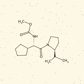 COC(=O)N[C@H](C(=O)N1CCC[C@H]1C(C)C)C1CCCC1